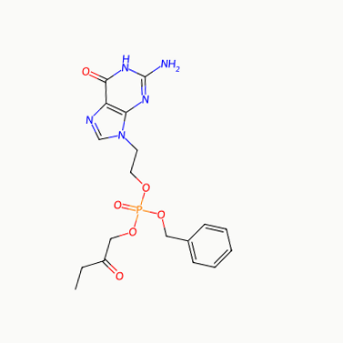 CCC(=O)COP(=O)(OCCn1cnc2c(=O)[nH]c(N)nc21)OCc1ccccc1